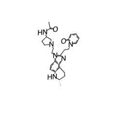 CC(=O)N[C@@H]1CCN(CCn2c(CCn3ccccc3=O)nc3c4c(ccc32)N[C@@H](C)CC4)C1